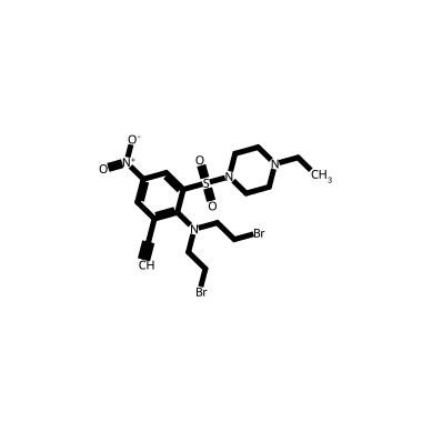 C#Cc1cc([N+](=O)[O-])cc(S(=O)(=O)N2CCN(CC)CC2)c1N(CCBr)CCBr